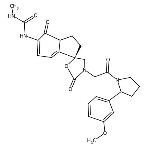 CNC(=O)NC1=CC=C2C(CC[C@]23CN(CC(=O)N2CCCC2c2cccc(OC)c2)C(=O)O3)C1=O